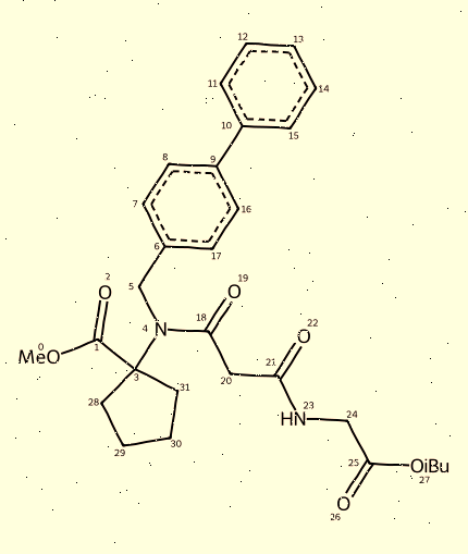 COC(=O)C1(N(Cc2ccc(-c3ccccc3)cc2)C(=O)CC(=O)NCC(=O)OCC(C)C)CCCC1